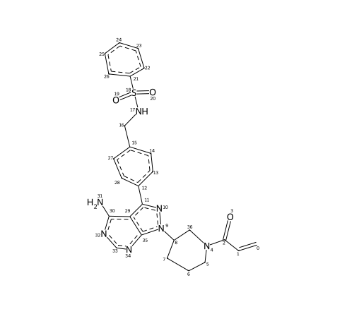 C=CC(=O)N1CCCC(n2nc(-c3ccc(CNS(=O)(=O)c4ccccc4)cc3)c3c(N)ncnc32)C1